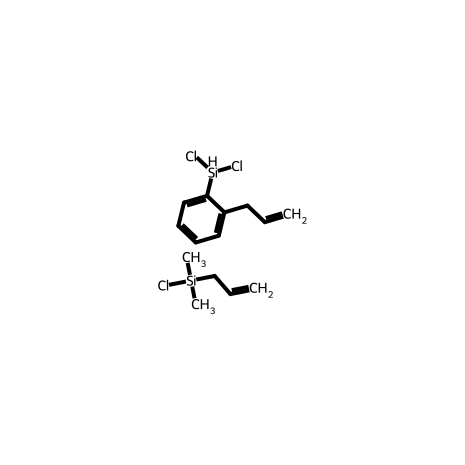 C=CC[Si](C)(C)Cl.C=CCc1ccccc1[SiH](Cl)Cl